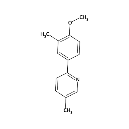 COc1ccc(-c2ccc(C)cn2)cc1C